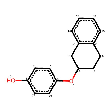 Oc1ccc(OC2CCc3ccccc3C2)cc1